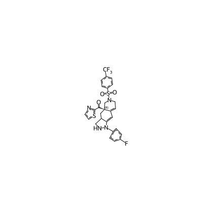 O=C(c1nccs1)[C@]12CC3CNN(c4ccc(F)cc4)C3=CC1=CCN(S(=O)(=O)c1ccc(C(F)(F)F)cc1)C2